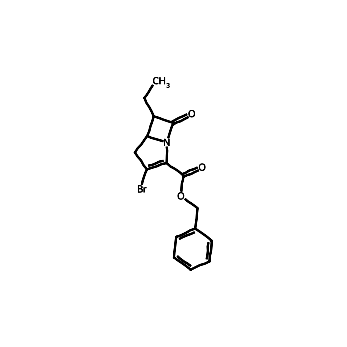 CCC1C(=O)N2C(C(=O)OCc3ccccc3)=C(Br)CC12